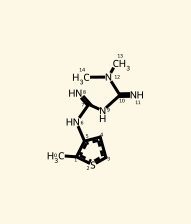 Cc1sccc1NC(=N)NC(=N)N(C)C